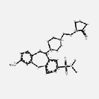 COc1ccc2c(c1)Sc1ccc(S(=O)(=O)N(C)C)cc1C(N1CCN(CCN3CCCC3=O)CC1)C2